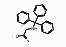 C[C@H](NC(c1ccccc1)(c1ccccc1)c1ccccc1)C(O)=S